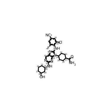 N#Cc1cc(F)c(Nc2nc3cnc(N[C@@H]4CCC[C@H](O)C4)nc3n2C2CCC(C(N)=O)CC2)c(Cl)c1